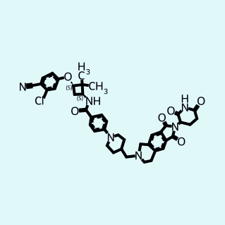 CC1(C)[C@@H](NC(=O)c2ccc(N3CCC(CN4CCc5cc6c(cc5C4)C(=O)N(C4CCC(=O)NC4=O)C6=O)CC3)cc2)C[C@@H]1Oc1ccc(C#N)c(Cl)c1